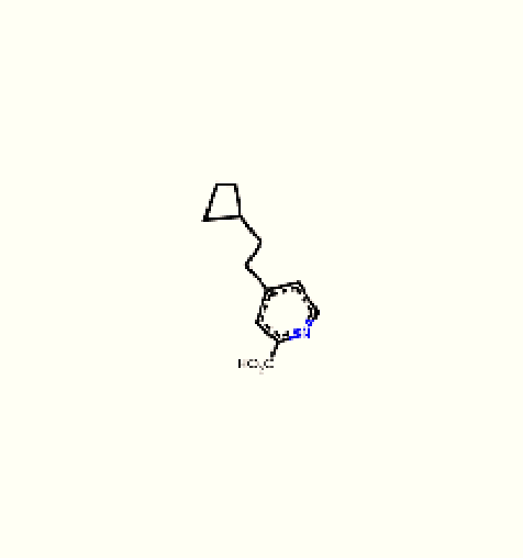 O=C(O)c1cc(CCC2CCC2)ccn1